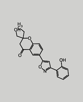 CCC1(CO)CC(=O)c2cc(-c3cc(-c4ccccc4O)no3)ccc2O1